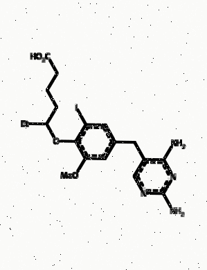 CCC(CCCC(=O)O)Oc1c(I)cc(Cc2cnc(N)nc2N)cc1OC